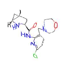 C[C@@]12C[C@@H](C(=O)Nc3nc(Cl)ccc3CN3CCOCC3)N[C@@H]1C2